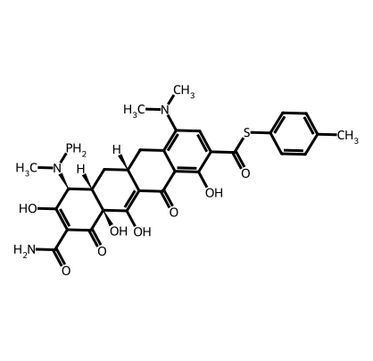 Cc1ccc(SC(=O)c2cc(N(C)C)c3c(c2O)C(=O)C2=C(O)[C@]4(O)C(=O)C(C(N)=O)=C(O)[C@@H](N(C)P)[C@@H]4C[C@@H]2C3)cc1